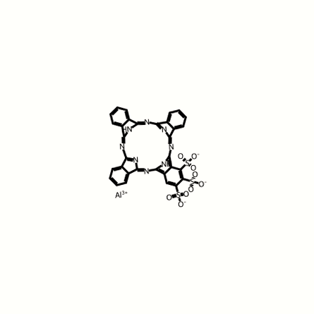 O=S(=O)([O-])c1cc2c3nc4nc(nc5[nH]c(nc6nc(nc([nH]3)c2c(S(=O)(=O)[O-])c1S(=O)(=O)[O-])-c1ccccc1-6)c1ccccc51)-c1ccccc1-4.[Al+3]